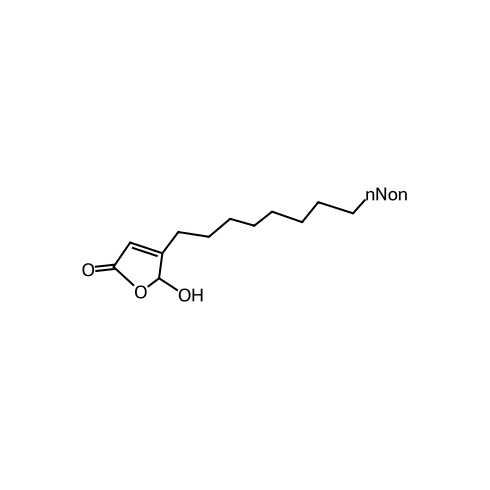 CCCCCCCCCCCCCCCCCC1=CC(=O)OC1O